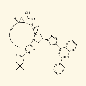 CC(C)(C)OC(=O)N[C@H]1CCCC/C=C\[C@@H]2C[C@@]2(C(=O)O)NC(=O)[C@@H]2C[C@@H](n3nnc(-c4cc(-c5ccccc5)nc5ccccc45)n3)CN2C1=O